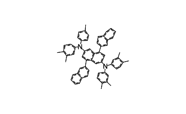 Cc1ccc(N(c2ccc(C)c(C)c2)c2cc(-c3ccc4ccccc4c3)c3cc(N(c4ccc(C)c(C)c4)c4ccc(C)c(C)c4)cc(-c4ccc5ccccc5c4)c3c2)cc1